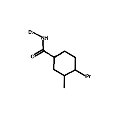 CCNC(=O)C1CCC(C(C)C)C(C)C1